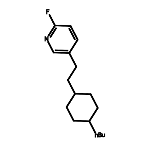 CCCCC1CCC(CCc2ccc(F)nc2)CC1